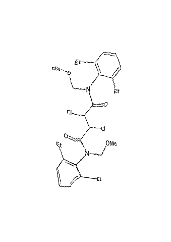 CCCCOCN(C(=O)C(Cl)C(Cl)C(=O)N(COC)c1c(CC)cccc1CC)c1c(CC)cccc1CC